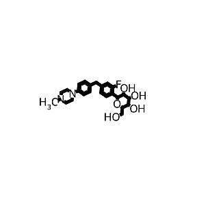 CN1CCN(c2ccc(Cc3ccc(C4OC(CO)C(O)C(O)C4O)c(F)c3)cc2)CC1